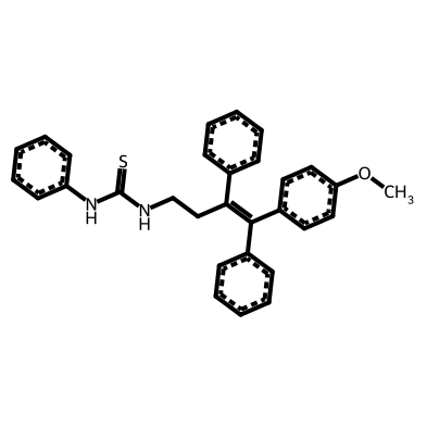 COc1ccc(/C(=C(/CCNC(=S)Nc2ccccc2)c2ccccc2)c2ccccc2)cc1